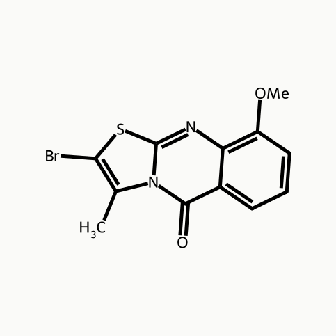 COc1cccc2c(=O)n3c(C)c(Br)sc3nc12